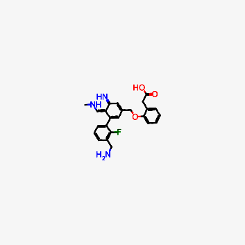 CN/C=C1\C(=N)C=C(COc2ccccc2CC(=O)O)C=C1c1cccc(CN)c1F